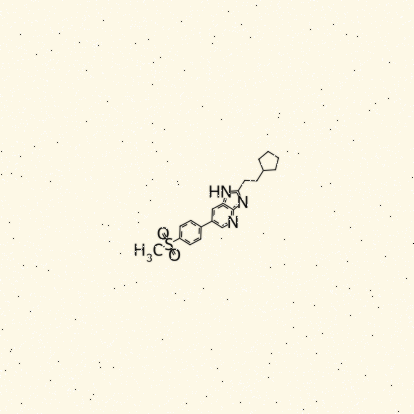 CS(=O)(=O)c1ccc(-c2cnc3nc(CCC4CCCC4)[nH]c3c2)cc1